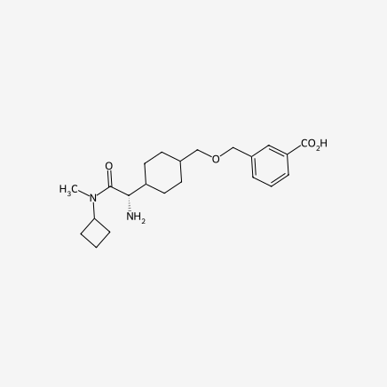 CN(C(=O)[C@@H](N)C1CCC(COCc2cccc(C(=O)O)c2)CC1)C1CCC1